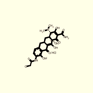 CN(C)[C@@H]1C(O)=C(C(N)=O)C(=O)[C@@]2(O)C(O)=C3C(=O)c4c(ccc(NC(=O)CCl)c4O)CC3CC12.Cl